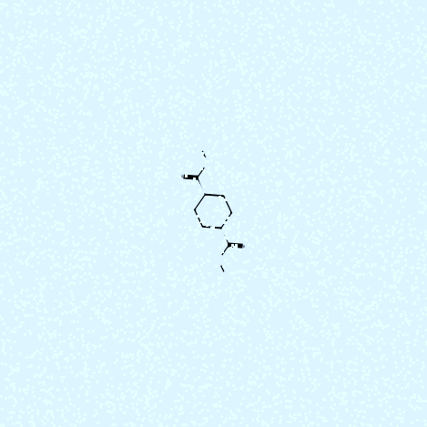 COC(=O)[C@H]1CC[C@@H](C(=O)OC)CC1